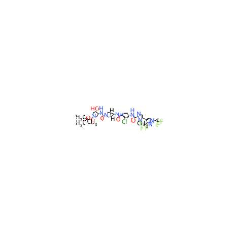 Cn1c(-c2cn([C@H]3CC3(F)F)nc2C(F)(F)F)cnc1C(=O)Nc1ccc(C(=O)NC2[C@H]3CN(C(=O)N[C@@H]4CN(C(=O)OC(C)(C)C)C[C@H]4O)C[C@@H]23)c(Cl)c1